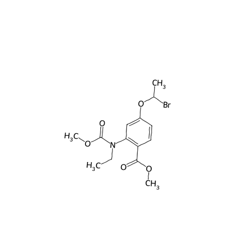 CCN(C(=O)OC)c1cc(OC(C)Br)ccc1C(=O)OC